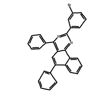 Brc1cccc(-c2nc(-c3ccccc3)c3cc(-c4ccccc4)c4ccccc4c3n2)c1